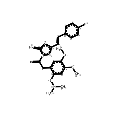 COc1cc(CC(=N)n2nc(/C=C/c3ccc(F)cc3)sc2=N)c(SN(C)C)cc1OC